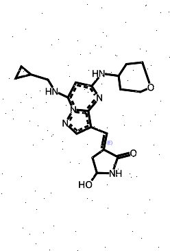 O=C1NC(O)C/C1=C\c1cnn2c(NCC3CC3)cc(NC3CCOCC3)nc12